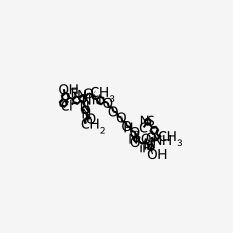 C=CC(=O)N1CCN(c2nc(O[C@H](C)CN3CCC(OCCOCCOCCOCCOc4cc([C@H](C(=O)N5C[C@H](O)C[C@H]5C(=O)N[C@@H](C)c5ccc(-c6scnc6C)cc5)C(C)C)on4)CC3)nc3c(F)c(-c4cc(O)cc5ccccc45)c(Cl)cc23)CC1